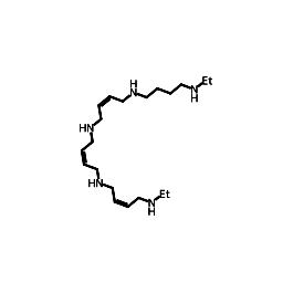 CCNC/C=C\CNC/C=C\CNC/C=C\CNCCCCNCC